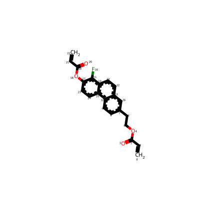 C=CC(=O)OCCc1ccc2c(ccc3c(F)c(OC(=O)C=C)ccc32)c1